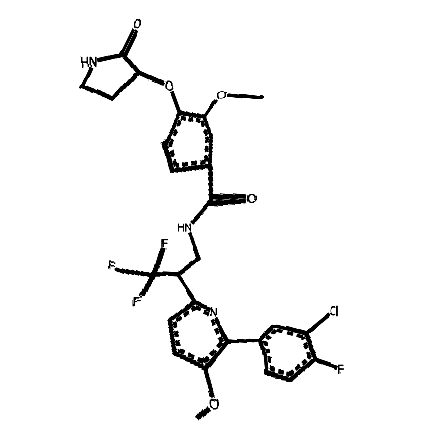 COc1cc(C(=O)NCC(c2ccc(OC)c(-c3ccc(F)c(Cl)c3)n2)C(F)(F)F)ccc1OC1CCNC1=O